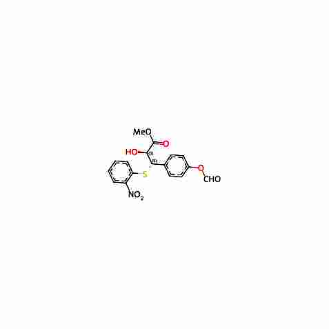 COC(=O)[C@H](O)[C@@H](Sc1ccccc1[N+](=O)[O-])c1ccc(OC=O)cc1